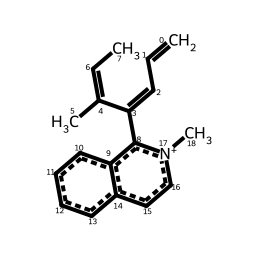 C=C/C=C(\C(C)=C/C)c1c2ccccc2cc[n+]1C